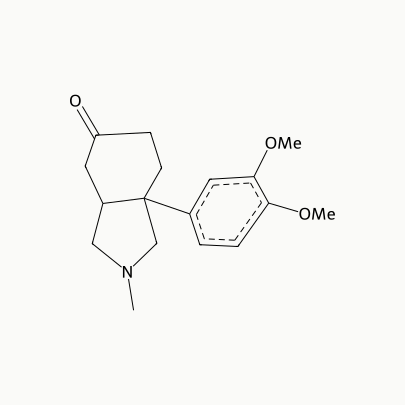 COc1ccc(C23CCC(=O)CC2CN(C)C3)cc1OC